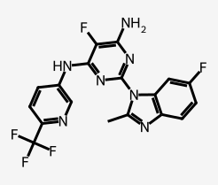 Cc1nc2ccc(F)cc2n1-c1nc(N)c(F)c(Nc2ccc(C(F)(F)F)nc2)n1